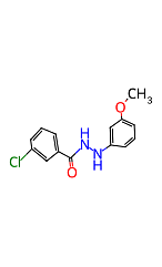 COc1cccc(NNC(=O)c2cccc(Cl)c2)c1